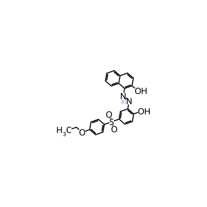 CCOc1ccc(S(=O)(=O)c2ccc(O)c(/N=N/c3c(O)ccc4ccccc34)c2)cc1